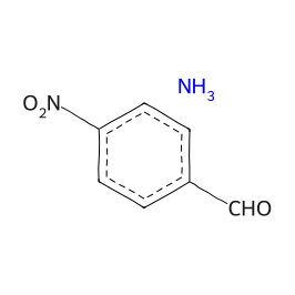 N.O=Cc1ccc([N+](=O)[O-])cc1